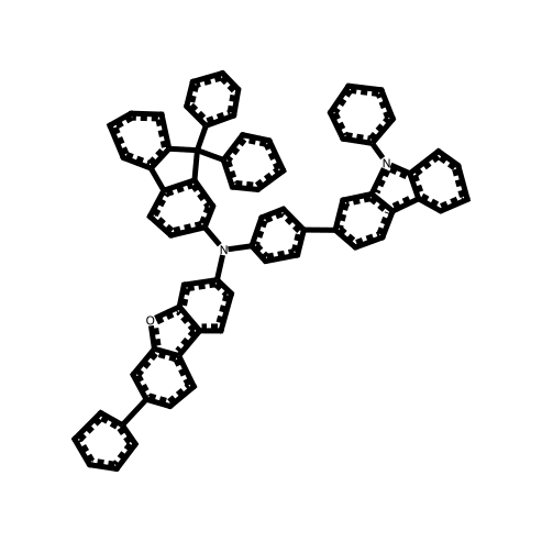 c1ccc(-c2ccc3c(c2)oc2cc(N(c4ccc(-c5ccc6c7ccccc7n(-c7ccccc7)c6c5)cc4)c4ccc5c(c4)C(c4ccccc4)(c4ccccc4)c4ccccc4-5)ccc23)cc1